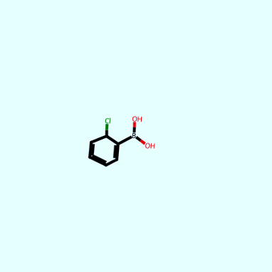 OB(O)C1=CC=C=CC1Cl